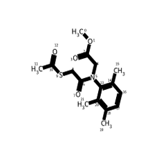 COC(=O)CN(C(=O)CSC(C)=O)c1c(C)ccc(C)c1C